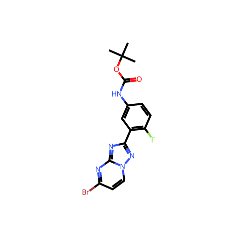 CC(C)(C)OC(=O)Nc1ccc(F)c(-c2nc3nc(Br)ccn3n2)c1